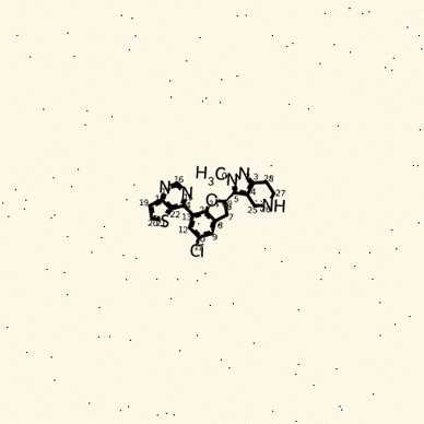 Cn1nc2c(c1[C@H]1Cc3cc(Cl)cc(-c4ncnc5ccsc45)c3O1)CNCC2